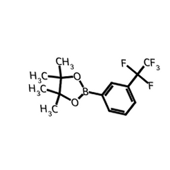 CC1(C)OB(c2cccc(C(F)(F)C(F)(F)F)c2)OC1(C)C